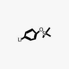 [Li][c]1ccc(O[Si](C)(C)C)cc1